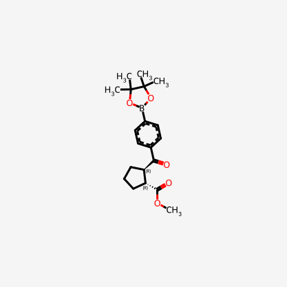 COC(=O)[C@@H]1CCC[C@H]1C(=O)c1ccc(B2OC(C)(C)C(C)(C)O2)cc1